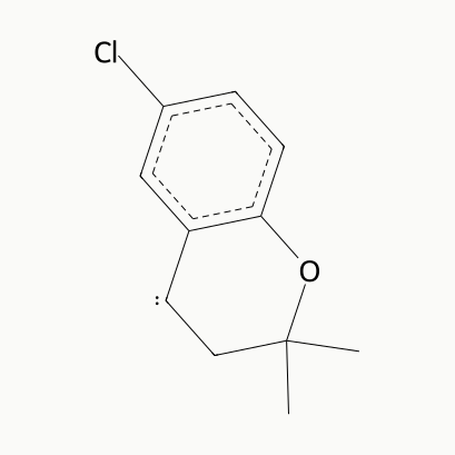 CC1(C)C[C]c2cc(Cl)ccc2O1